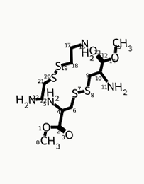 COC(=O)C(N)CSSCC(N)C(=O)OC.NCCSSCCN